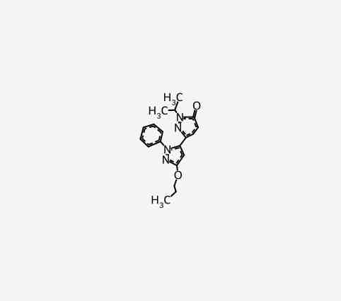 CCCOc1cc(-c2ccc(=O)n(C(C)C)n2)n(-c2ccccc2)n1